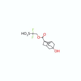 O=C(OCC(F)(F)S(=O)(=O)O)C12CC3CC(O)(CC=C31)C2